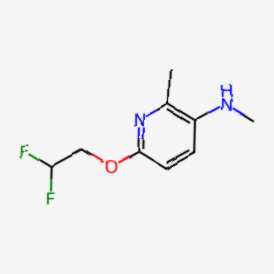 CNc1ccc(OCC(F)F)nc1C